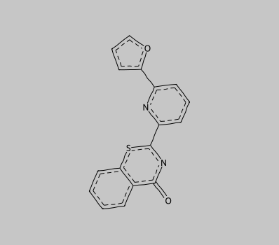 O=c1nc(-c2cccc(-c3ccco3)n2)sc2ccccc12